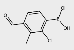 Cc1c(C=O)ccc(B(O)O)c1Cl